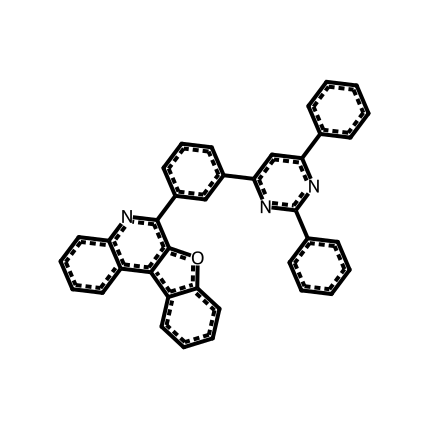 c1ccc(-c2cc(-c3cccc(-c4nc5ccccc5c5c4oc4ccccc45)c3)nc(-c3ccccc3)n2)cc1